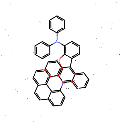 c1ccc(N(c2ccccc2)c2cccc3c2oc2c(-c4cccc5ccc6cccc(N(c7ccccc7)c7ccccc7)c6c45)cccc23)cc1